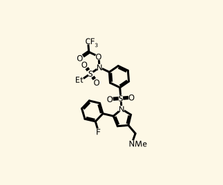 CCS(=O)(=O)N(OC(=O)C(F)(F)F)c1cccc(S(=O)(=O)n2cc(CNC)cc2-c2ccccc2F)c1